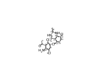 CC(=O)c1c(Cl)ccc(Cl)c1N.CC1NC(=S)Nc2c(Cl)ccc(Cl)c21